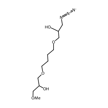 COCC(O)COCCCCOCC(O)CN=[N+]=[N-]